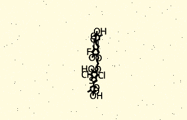 COc1c(OCCCOc2c(O)c(Cl)c3sc(C(=O)CC(C)C(=O)O)cc3c2Cl)cc2c(c1F)CN(C(=O)CC(C)C(=O)O)C2